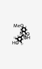 COc1ccc2c(=O)n(O)c(-c3cc(C)c(O)c(C)c3)nc2c1